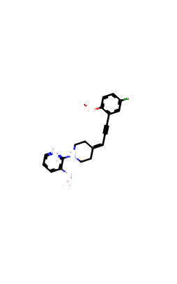 COc1ccc(F)cc1C#CC=C1CCN(c2ncccc2N=O)CC1